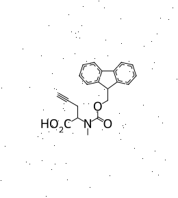 C#CCC(C(=O)O)N(C)C(=O)OCC1c2ccccc2-c2ccccc21